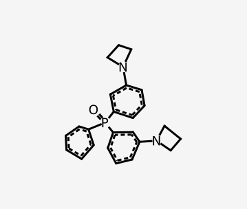 O=P(c1ccccc1)(c1cccc(N2CCC2)c1)c1cccc(N2CCC2)c1